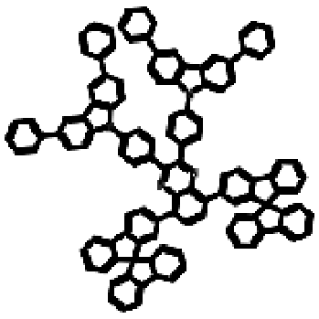 C1=CCCC(c2ccc3c(c2)c2cc(-c4ccccc4)ccc2n3-c2ccc(-c3nc4c(-c5ccc6c(c5)C5(c7ccccc7-c7ccccc75)c5ccccc5-6)ccc(-c5ccc6c(c5)C5(c7ccccc7-6)c6ccccc6C6C=CC=CC65)c4nc3-c3ccc(-n4c5ccc(-c6ccccc6)cc5c5cc(-c6ccccc6)ccc54)cc3)cc2)=C1